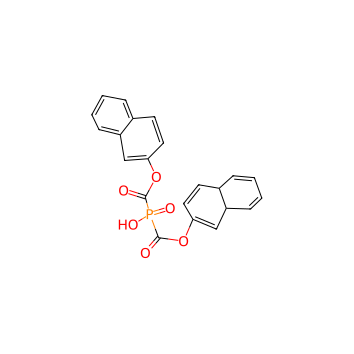 O=C(OC1=CC2C=CC=CC2C=C1)P(=O)(O)C(=O)Oc1ccc2ccccc2c1